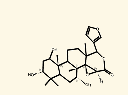 CC1(C)C2C[C@@H](O)[C@]3(C)C(CCC4(C)C(c5ccoc5)OC(=O)[C@H]5O[C@]543)[C@@]2(C)C(O)C[C@H]1O